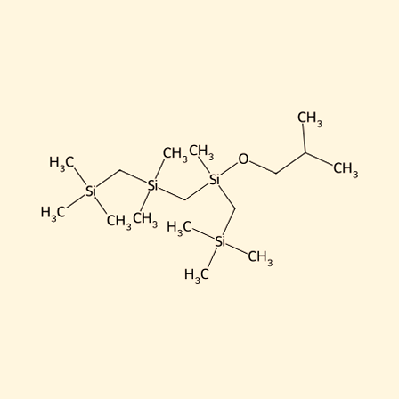 CC(C)CO[Si](C)(C[Si](C)(C)C)C[Si](C)(C)C[Si](C)(C)C